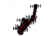 CC(C)[C@H](NC(=O)[C@@H](CCCCNC(=O)COC1CCCCC/C(NCCOCCOCCOCCOCCOCCP(=O)(O)O)=C\1N=N)NC(=O)CCOCCOCCOCCOCCNC(=O)CCC(=O)N1Cc2ccccc2C#Cc2ccccc21)C(=O)N[C@@H](CCCNC(N)=O)C(=O)N[C@@H](CO)C(=O)Nc1ccc2c(c1)[C@@]1(C)CCC[C@](C)(C(=O)NC(=O)[C@@]3(C)CCC[C@]4(C)c5cc(O)ccc5CC[C@@H]34)[C@@H]1CC2